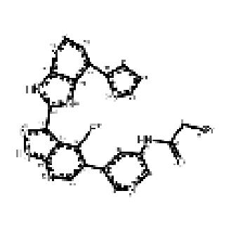 CC(C)CC(=O)Nc1cncc(-c2cnc3[nH]nc(-c4nc5c(-c6cccs6)ccnc5[nH]4)c3c2F)c1